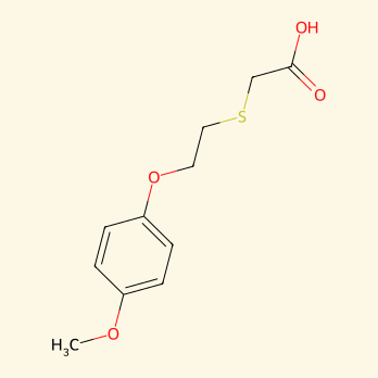 COc1ccc(OCCSCC(=O)O)cc1